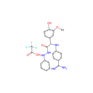 CCOc1cc(C(Nc2ccc(C(=N)N)cc2)C(=O)NNc2ccccc2)ccc1O.O=C(O)C(F)(F)F